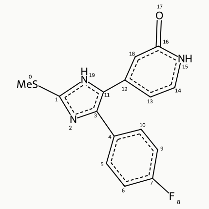 CSc1nc(-c2ccc(F)cc2)c(-c2cc[nH]c(=O)c2)[nH]1